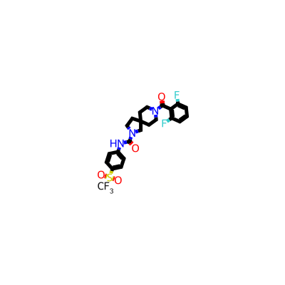 O=C(Nc1ccc(S(=O)(=O)C(F)(F)F)cc1)N1CCC2(CCN(C(=O)c3c(F)cccc3F)CC2)C1